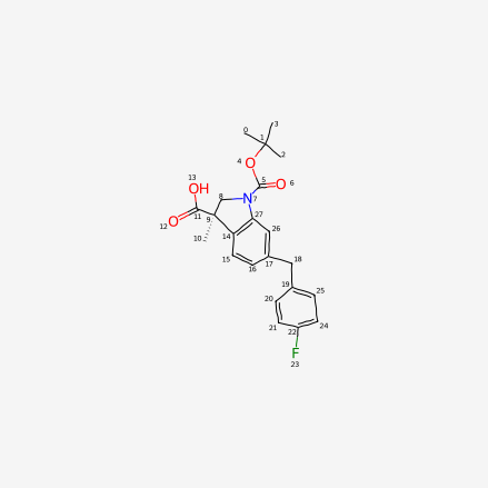 CC(C)(C)OC(=O)N1C[C@](C)(C(=O)O)c2ccc(Cc3ccc(F)cc3)cc21